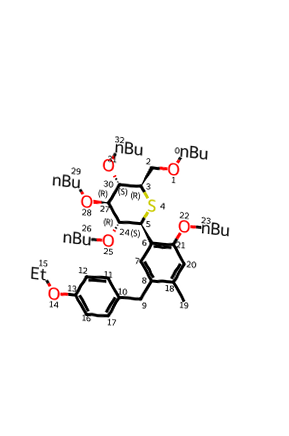 CCCCOC[C@H]1S[C@@H](c2cc(Cc3ccc(OCC)cc3)c(C)cc2OCCCC)[C@H](OCCCC)[C@@H](OCCCC)[C@@H]1OCCCC